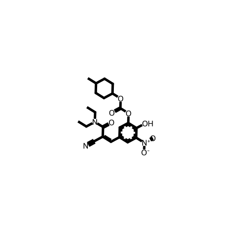 CCN(CC)C(=O)C(C#N)=Cc1cc(OC(=O)OC2CCC(C)CC2)c(O)c([N+](=O)[O-])c1